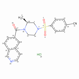 C[C@H]1CN(S(=O)(=O)c2ccc(C#N)cc2)CCN1C(=O)c1ccc2cnccc2c1.Cl